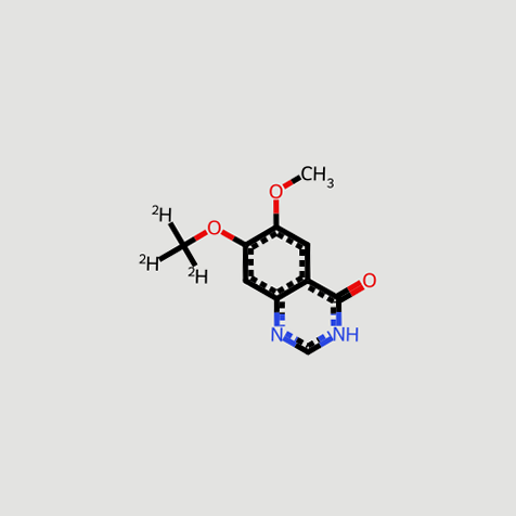 [2H]C([2H])([2H])Oc1cc2nc[nH]c(=O)c2cc1OC